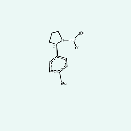 CC(C)(C)c1ccc([C@H]2CCCN2[S+]([O-])C(C)(C)C)cc1